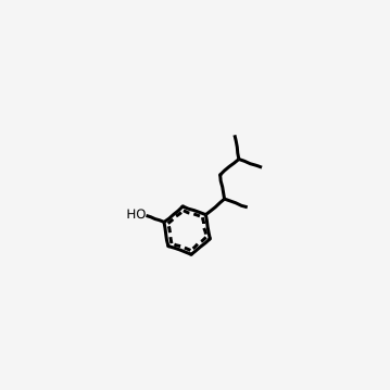 CC(C)CC(C)c1cccc(O)c1